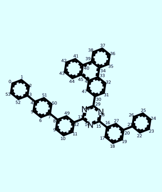 c1ccc(-c2ccc(-c3cccc(-c4nc(-c5cccc(-c6ccccc6)c5)nc(-c5ccc6c7ccccc7c7ccccc7c6c5)n4)c3)cc2)cc1